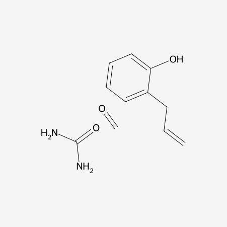 C=CCc1ccccc1O.C=O.NC(N)=O